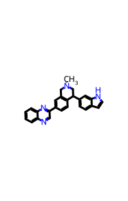 CN1Cc2cc(-c3cnc4ccccc4n3)ccc2C(c2ccc3cc[nH]c3c2)C1